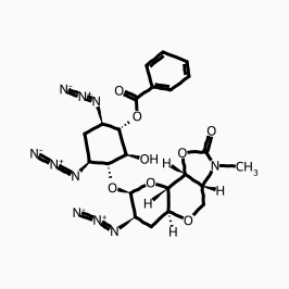 CN1C(=O)O[C@H]2[C@H]3O[C@H](O[C@H]4[C@H](O)[C@@H](OC(=O)c5ccccc5)[C@H](N=[N+]=[N-])C[C@@H]4N=[N+]=[N-])[C@H](N=[N+]=[N-])C[C@@H]3OC[C@H]21